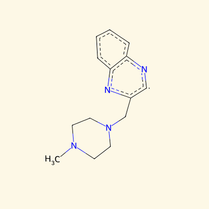 CN1CCN(Cc2[c]nc3ccccc3n2)CC1